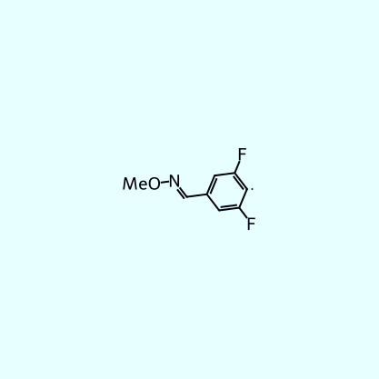 CON=Cc1cc(F)[c]c(F)c1